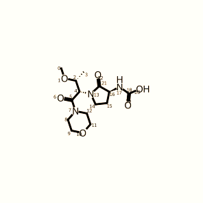 CO[C@H](C)[C@@H](C(=O)N1CCOCC1)N1CC[C@H](NC(=O)O)C1=O